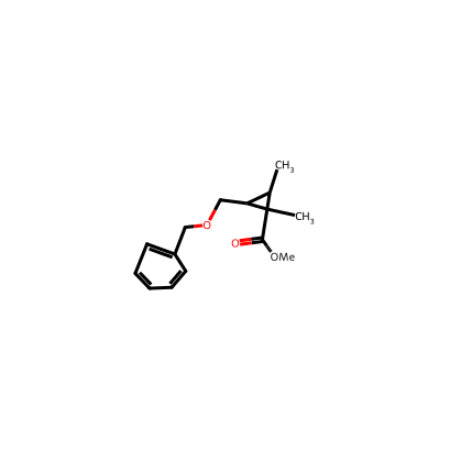 COC(=O)C1(C)C(C)C1COCc1ccccc1